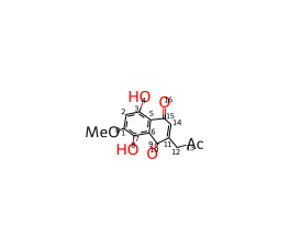 COc1cc(O)c2c(c1O)C(=O)C(CC(C)=O)=CC2=O